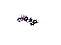 O=C1[C@@H](N2CCCc3cc(Cl)ccc32)CCN1c1ccc(S(=O)(=O)Nc2ccncn2)cc1